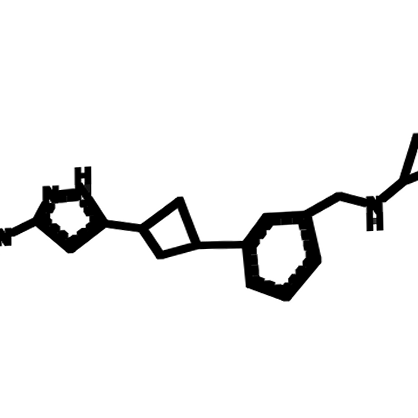 Nc1cc(C2CC(c3cccc(CNC4CC4)c3)C2)[nH]n1